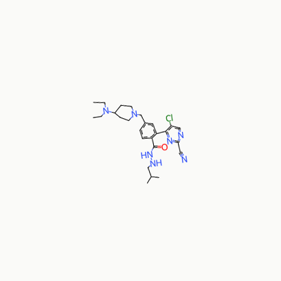 CCN(CC)C1CCN(Cc2ccc(C(=O)NNCC(C)C)c(-c3nc(C#N)ncc3Cl)c2)CC1